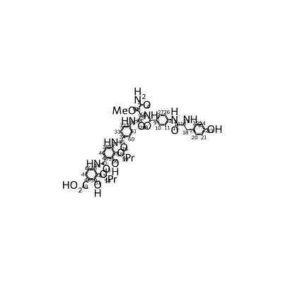 CO[C@@H](C(N)=O)[C@H](NC(=O)c1ccc(NC(=O)C(N)Cc2ccc(O)cc2)cc1)C(=O)Nc1ccc(C(=O)Nc2ccc(C(=O)Nc3ccc(C(=O)O)c(O)c3OC(C)C)c(O)c2OC(C)C)cc1